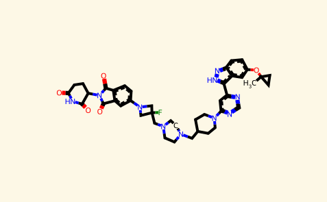 CC1(Oc2ccc3n[nH]c(-c4cc(N5CCC(CN6CCN(CC7(F)CN(c8ccc9c(c8)C(=O)N(C8CCC(=O)NC8=O)C9=O)C7)CC6)CC5)ncn4)c3c2)CC1